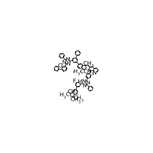 CC1(C)CC(C)(C)C2CC=C(C3=CC(C4N=C(c5ccccc5)N=C(c5ccc(-c6cc(CC7(C)CC(C)(C)c8ccc(-c9cc(-c%10ccccc%10)cc(-c%10nc(-c%11ccccc%11)nc(-c%11cccc%12c%11oc%11ccccc%11%12)n%10)c9)cc87)cc7cccnc67)cc5)N4)CC(F)=C3)C=C21